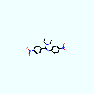 CCN(CC)C(=Nc1ccc([N+](=O)[O-])cc1)c1ccc([N+](=O)[O-])cc1